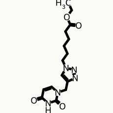 CCOC(=O)CCCCCn1cc(Cn2ccc(=O)[nH]c2=O)nn1